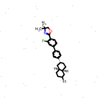 CCC1CC[C@@H]2C[C@H](c3ccc(-c4ccc(C5=NC(C)(C)CO5)c(F)c4)cc3)CC[C@@H]2C1